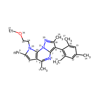 CCCc1cc2c(C)nc3c(-c4c(C)cc(C)cc4C)c(C)nn3c2n1CCOCC